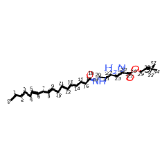 CCCCCC=CCC=CCCCCCCCC(=O)NCCCCC(N)C(=O)OCC[Si](C)(C)C